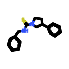 S=C(NCc1ccccc1)N1CCC(c2ccccc2)C1